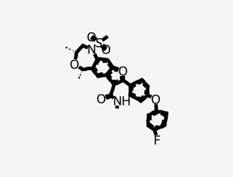 CNC(=O)c1c(-c2ccc(Oc3ccc(F)cc3)cc2)oc2cc3c(cc12)[C@H](C)O[C@H](C)CN3S(C)(=O)=O